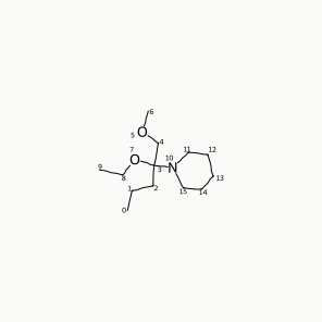 CCCC(COC)(OCC)N1CCCCC1